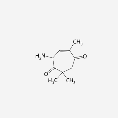 CC1=CC(N)C(=O)C(C)(C)CC1=O